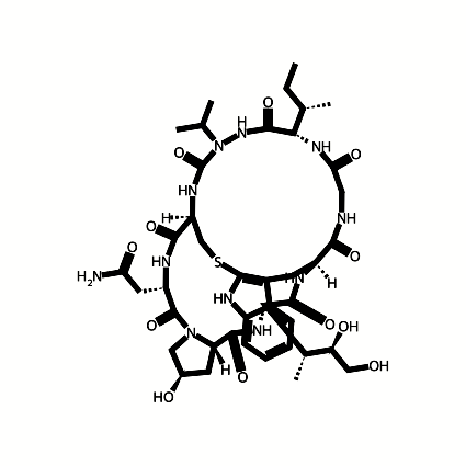 CC[C@H](C)[C@@H]1NC(=O)CNC(=O)[C@@H]2Cc3c([nH]c4ccccc34)SC[C@H](NC(=O)N(C(C)C)NC1=O)C(=O)N[C@@H](CC(N)=O)C(=O)N1C[C@H](O)C[C@H]1C(=O)N[C@@H]([C@@H](C)[C@@H](O)CO)C(=O)N2